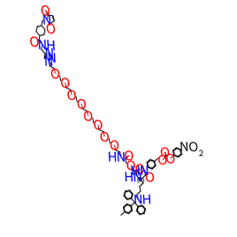 Cc1ccc(C(NCCCC[C@@H](NC(=O)COCC(=O)NCCOCCOCCOCCOCCOCCOCCOCCOCCn2cc(CNC(=O)C3CCC(CN4C(=O)C=CC4=O)CC3)nn2)C(=O)Nc2ccc(COC(=O)Oc3ccc([N+](=O)[O-])cc3)cc2)(c2ccccc2)c2ccccc2)cc1